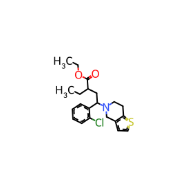 CCOC(=O)C(CC)CC(c1ccccc1Cl)N1CCc2sccc2C1